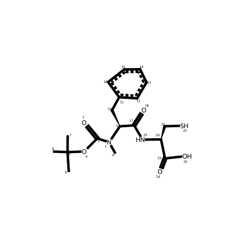 CN(C(=O)OC(C)(C)C)[C@@H](Cc1ccccc1)C(=O)N[C@@H](CS)C(=O)O